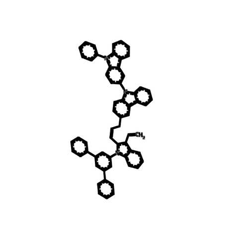 C=Cc1c(/C=C\Cc2ccc3c(c2)c2ccccc2n3-c2ccc3c(c2)c2ccccc2n3-c2ccccc2)n(-c2cc(-c3ccccc3)cc(-c3ccccc3)c2)c2ccccc12